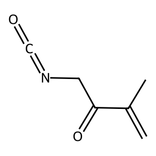 C=C(C)C(=O)CN=C=O